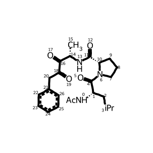 CC(=O)N[C@@H](CC(C)C)C(=O)N1CCC[C@H]1C(=O)N[C@@H](C)C(=O)C(=O)Cc1ccccc1